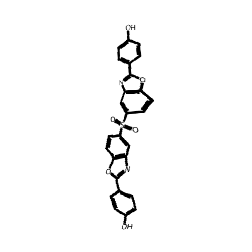 O=S(=O)(c1ccc2oc(-c3ccc(O)cc3)nc2c1)c1ccc2oc(-c3ccc(O)cc3)nc2c1